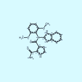 COc1cccc(OC)c1N(C(=O)c1nc[nH]c1C(N)=O)c1nc2ccccc2[nH]1